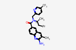 Cc1cc2cc(C(=O)N(Cc3ccc(C(F)(F)F)cn3)[C@@H](C)CC(C)C)ccc2nc1N